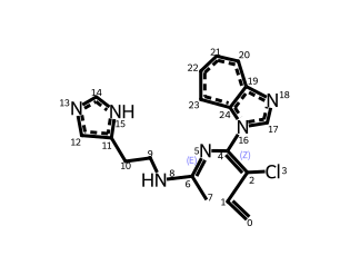 C=C/C(Cl)=C(\N=C(/C)NCCc1cnc[nH]1)n1cnc2ccccc21